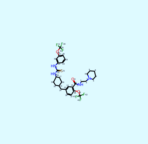 O=C(NCCN1CCCCC1)c1cc(CC2CCC(NC(=S)Nc3cccc(OC(F)(F)F)c3)CC2)ccc1OC(F)(F)F